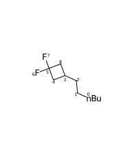 CCCCCCC1CC(F)(F)C1